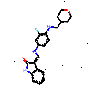 O=C1Nc2ccccc2C1=CNc1ccc(NCC2CCOCC2)c(F)c1